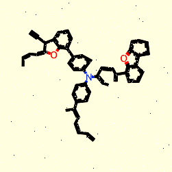 C#CC1/C(=C\C=C/C)Oc2c(-c3ccc(N(C(/C=C\C(=C)c4cccc5c4oc4ccccc45)=C/C)c4ccc(/C(C)=C/C=C\C=C)cc4)cc3)cccc21